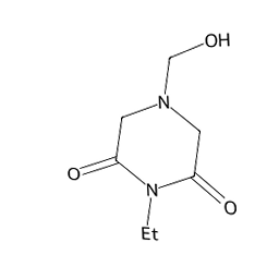 CCN1C(=O)CN(CO)CC1=O